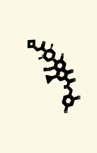 COc1c(N2C[C@@H](C)N(C(=O)CN3CCC3)[C@@H](C)C2)c(F)cc2c(=O)c(C(=O)NCc3ccc(Cl)cc3Cl)cn(C3CC3)c12